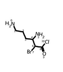 NCCCC(N)C(Br)C(=O)Cl